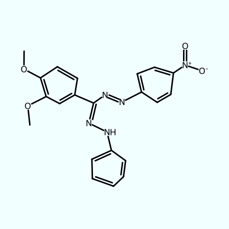 COc1ccc(C(N=Nc2ccc([N+](=O)[O-])cc2)=NNc2ccccc2)cc1OC